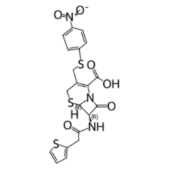 O=C(Cc1cccs1)N[C@@H]1C(=O)N2C(C(=O)O)=C(CSc3ccc([N+](=O)[O-])cc3)CS[C@H]12